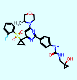 C[C@H]1COCCN1c1cc(C2(S(=O)(=O)c3ccccc3F)CC2)nc(-c2ccc(NC(=O)NCC3(O)CC3)cc2)n1